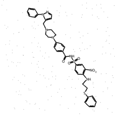 O=C(NS(=O)(=O)c1ccc(NCCSc2ccccc2)c([N+](=O)[O-])c1)c1ccc(N2CCN(Cc3ccnn3-c3ccccc3)CC2)cc1